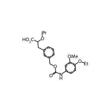 CCOc1ccc(NC(=O)OCc2cccc(CC(OC(C)C)C(=O)O)c2)cc1OC